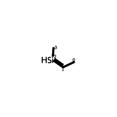 C/C=[SiH]\C